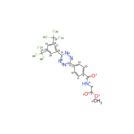 COC(=O)CNC(=O)c1ccc(-c2nnc(-c3cc(C(F)(F)F)cc(C(F)(F)F)c3)nn2)cc1